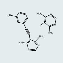 Nc1cccc(C#Cc2c(N)ncnc2N)c1.Nc1ncnc(N)c1I